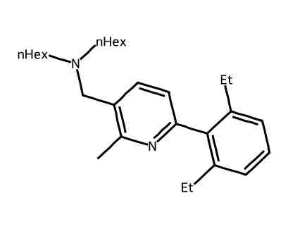 CCCCCCN(CCCCCC)Cc1ccc(-c2c(CC)cccc2CC)nc1C